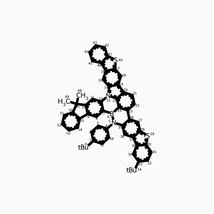 CC(C)(C)c1ccc(N2B3c4cc5c(cc4-n4c6cc7c(cc6c6ccc(c3c64)-c3cc4sc6ccc(C(C)(C)C)cc6c4cc32)sc2ccccc27)C(C)(C)c2ccccc2-5)cc1